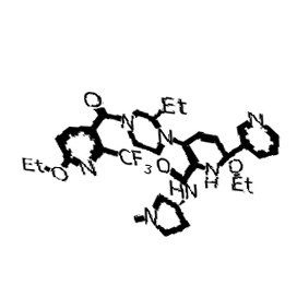 CCOc1ccc(C(=O)N2CCN(C3=C(C(=O)N[C@@H]4CCN(C)C4)NC(OCC)(c4cccnc4)C=C3)[C@H](CC)C2)c(C(F)(F)F)n1